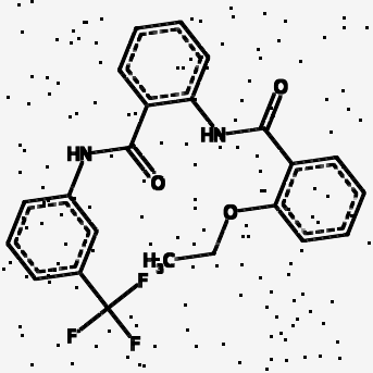 CCOc1ccccc1C(=O)Nc1ccccc1C(=O)Nc1cccc(C(F)(F)F)c1